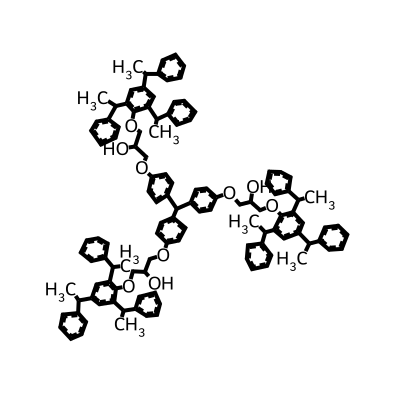 CC(c1ccccc1)c1cc(C(C)c2ccccc2)c(OCC(O)COc2ccc(C(c3ccc(OCC(O)COc4c(C(C)c5ccccc5)cc(C(C)c5ccccc5)cc4C(C)c4ccccc4)cc3)c3ccc(OCC(O)COc4c(C(C)c5ccccc5)cc(C(C)c5ccccc5)cc4C(C)c4ccccc4)cc3)cc2)c(C(C)c2ccccc2)c1